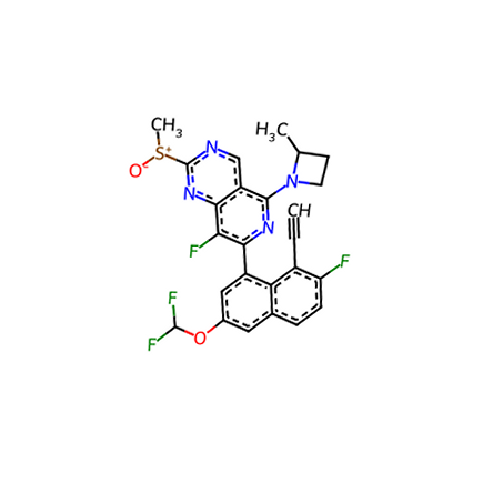 C#Cc1c(F)ccc2cc(OC(F)F)cc(-c3nc(N4CCC4C)c4cnc([S+](C)[O-])nc4c3F)c12